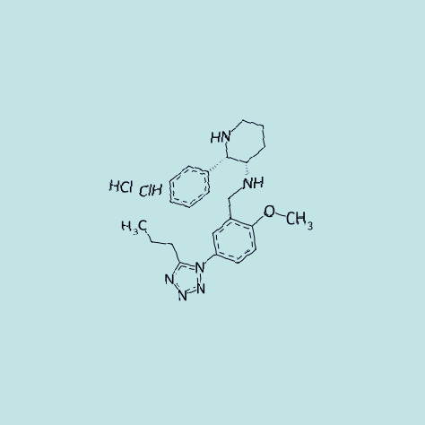 CCCc1nnnn1-c1ccc(OC)c(CN[C@H]2CCCN[C@H]2c2ccccc2)c1.Cl.Cl